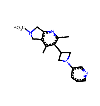 Cc1nc2c(c(C)c1C1CN(c3cccnc3)C1)CN(C(=O)O)C2